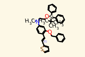 CN(CCO[Si](c1ccccc1)(c1ccccc1)C(C)(C)C)c1ccc(/C=C/c2cccs2)c(OCc2ccccc2)c1